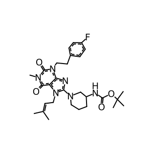 CC(C)=CCn1c(N2CCCC(NC(=O)OC(C)(C)C)C2)nc2c1c(=O)n(C)c(=O)n2CCc1ccc(F)cc1